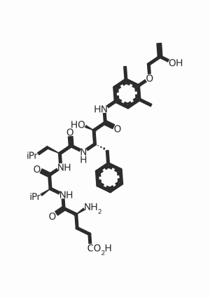 C=C(O)COc1c(C)cc(NC(=O)[C@H](O)[C@H](Cc2ccccc2)NC(=O)[C@H](CC(C)C)NC(=O)[C@@H](NC(=O)[C@@H](N)CCC(=O)O)C(C)C)cc1C